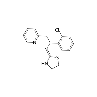 Clc1ccccc1C(Cc1ccccn1)/N=C1/NCCS1